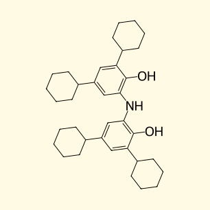 Oc1c(Nc2cc(C3CCCCC3)cc(C3CCCCC3)c2O)cc(C2CCCCC2)cc1C1CCCCC1